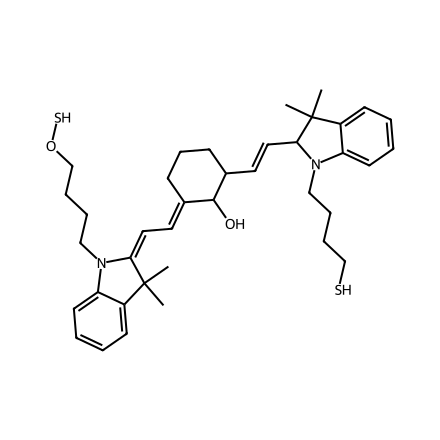 CC1(C)/C(=C\C=C2/CCCC(/C=C/C3N(CCCCS)c4ccccc4C3(C)C)C2O)N(CCCCOS)c2ccccc21